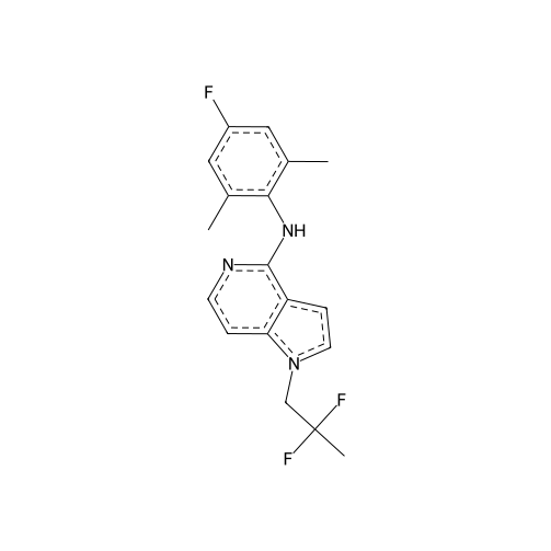 Cc1cc(F)cc(C)c1Nc1nccc2c1ccn2CC(C)(F)F